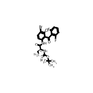 CC[C@H](NC(=O)OC(C)(C)C)C(=O)Nc1ccc(Br)c(Cl)c1C(=O)c1c(F)cccc1F